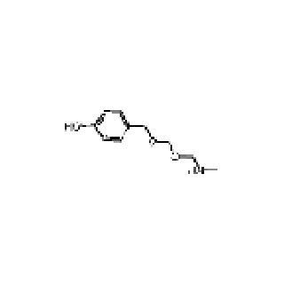 CNCOCOCc1ccc(O)cc1